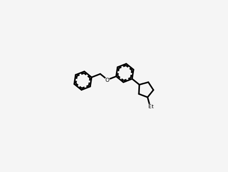 CCC1CCC(c2cccc(OCc3ccccc3)c2)C1